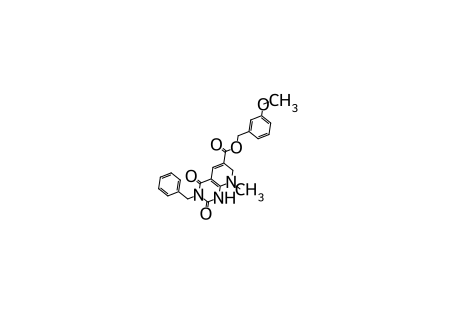 COc1cccc(COC(=O)C2=Cc3c([nH]c(=O)n(Cc4ccccc4)c3=O)N(C)C2)c1